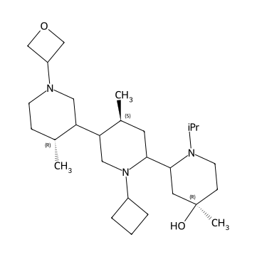 CC(C)N1CC[C@@](C)(O)CC1C1C[C@H](C)C(C2CN(C3COC3)CC[C@H]2C)CN1C1CCC1